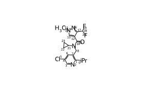 CC(C)c1ncc(Cl)cc1CN(C(=O)c1cn(C)nc1C(F)F)C1CC1